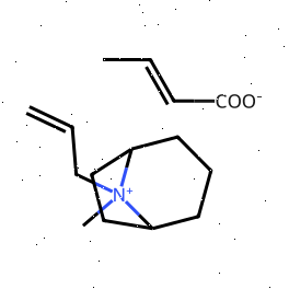 C=CC[N+]1(C)C2CCCC1CC2.CC=CC(=O)[O-]